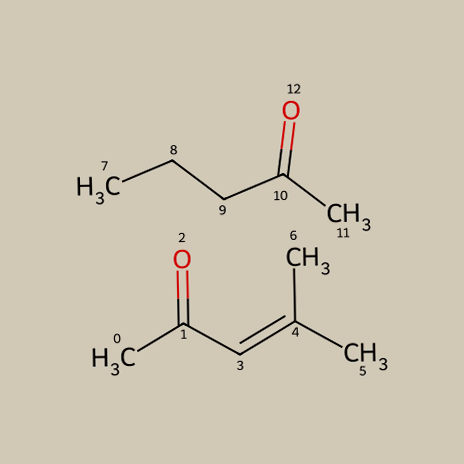 CC(=O)C=C(C)C.CCCC(C)=O